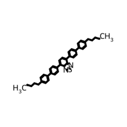 CCCCCc1ccc(-c2ccc(-c3ccc(-c4ccc(-c5ccc(CCCCC)cc5)cc4)c4nsnc34)cc2)cc1